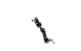 Cn1nc(C2CCC(=O)NC2=O)c2cccc(C#CCO[C@H]3CCN(CC4CCC(/C=[N+]5\C=C(N)C(C(F)F)=N5)CC4)C[C@H]3F)c21